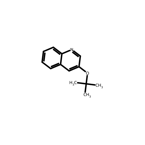 CC(C)(C)Oc1cnc2ccccc2c1